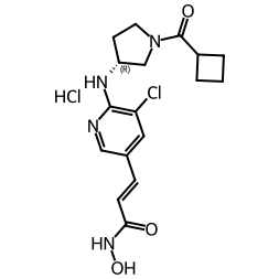 Cl.O=C(C=Cc1cnc(N[C@@H]2CCN(C(=O)C3CCC3)C2)c(Cl)c1)NO